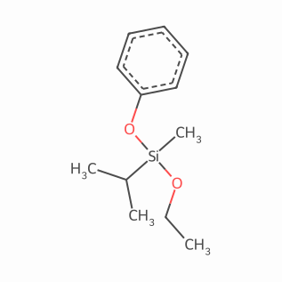 CCO[Si](C)(Oc1ccccc1)C(C)C